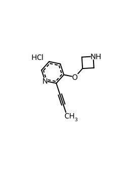 CC#Cc1ncccc1OC1CNC1.Cl